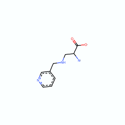 [N]C(CNCc1cccnc1)C([O])=O